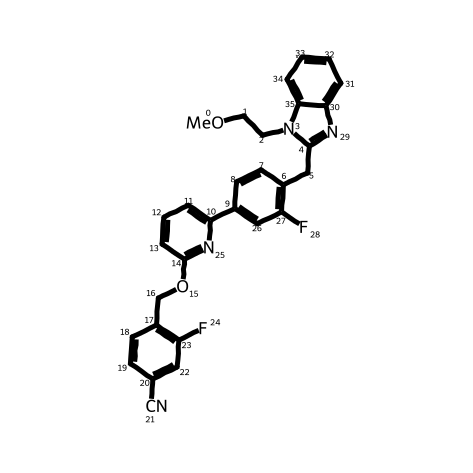 COCCn1c(Cc2ccc(-c3cccc(OCc4ccc(C#N)cc4F)n3)cc2F)nc2cc[c]cc21